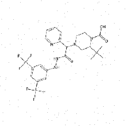 CC(C)(C)C1CN(C(C(=O)NNc2cc(C(F)(F)F)cc(C(F)(F)F)c2)c2ccccn2)CCN1C(=O)O